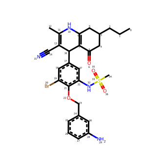 CCCC1CC(=O)C2=C(C1)NC(C)=C(C#N)C2c1cc(Br)c(OCc2cccc(N)c2)c(NS(C)(=O)=O)c1